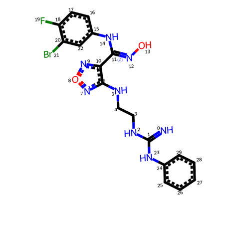 N=C(NCCNc1nonc1/C(=N/O)Nc1ccc(F)c(Br)c1)Nc1ccccc1